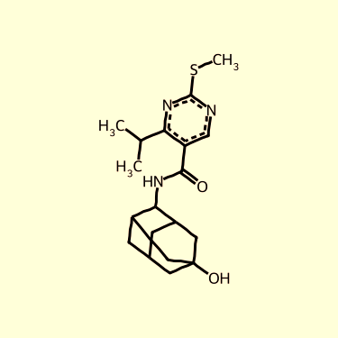 CSc1ncc(C(=O)NC2C3CC4CC2CC(O)(C4)C3)c(C(C)C)n1